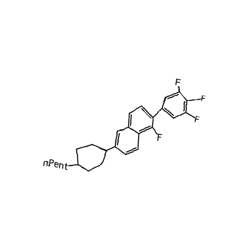 CCCCCC1CCC(c2ccc3c(F)c(-c4cc(F)c(F)c(F)c4)ccc3c2)CC1